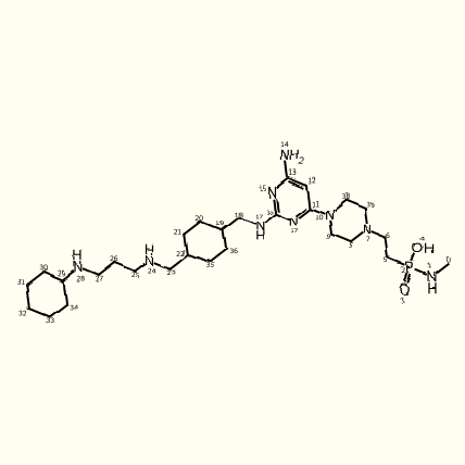 CNP(=O)(O)CCN1CCN(c2cc(N)nc(NCC3CCC(CNCCCNC4CCCCC4)CC3)n2)CC1